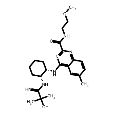 COCCNC(=O)c1nc(N[C@H]2CCCC[C@H]2NC(=N)C(C)(C)O)c2cc(C)ccc2n1